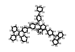 c1ccc(C(=C(c2ccccc2)c2ccc(-c3ccc(N(c4ccc(-c5ccccc5)cc4)c4ccc(-c5ccc(-n6c7ccccc7c7ccccc76)cc5)c5nsnc45)cc3)cc2)c2ccccc2)cc1